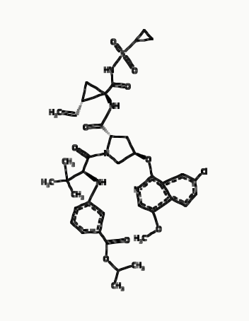 C=C[C@@H]1C[C@]1(NC(=O)[C@@H]1C[C@@H](Oc2ncc(OC)c3ccc(Cl)cc23)CN1C(=O)[C@@H](Nc1cccc(C(=O)OC(C)C)c1)C(C)(C)C)C(=O)NS(=O)(=O)C1CC1